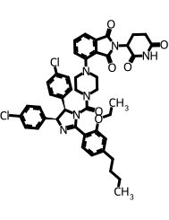 CCCCc1ccc(C2=N[C@@H](c3ccc(Cl)cc3)[C@@H](c3ccc(Cl)cc3)N2C(=O)N2CCN(c3cccc4c3C(=O)N(C3CCC(=O)NC3=O)C4=O)CC2)c(OCC)c1